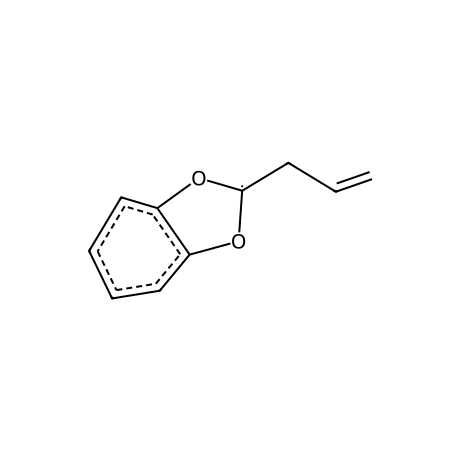 C=CC[C]1Oc2ccccc2O1